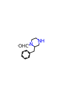 O=[C]N1CCNCC1Cc1ccccc1